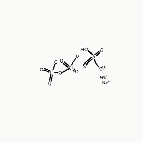 O=S(O)(O)=S.[Na+].[Na+].[O]=[Cr](=[O])([O-])[O][Cr](=[O])(=[O])[O-]